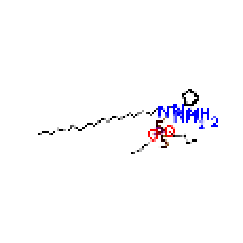 CCCCCCCCCCCCCCCCCCN(CSP(=S)(OCCCC)OCCCC)CN(N)c1ccccc1N